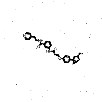 CCC1CC2CC2(c2ccc(O/C=C/C(=O)Nc3cccc(C(=O)NCCc4ccncc4)c3)cc2)C1